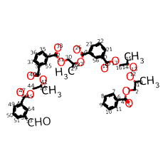 CC(COC(=O)c1ccccc1)OOC(C)COC(=O)c1cccc(C(=O)OC(C)COC(=O)c2cccc(C(=O)OC(C)COC(=O)c3cccc(C=O)c3)c2)c1